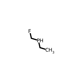 CCPCF